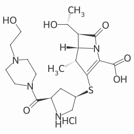 C[C@@H](O)[C@H]1C(=O)N2C(C(=O)O)=C(S[C@H]3CN[C@@H](C(=O)N4CCN(CCO)CC4)C3)[C@H](C)[C@H]12.Cl